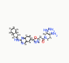 NNC1=C(N)CCN(C(=O)Cc2nnc(-c3ccc4nc(NC5Cc6ccccc6C5)ncc4c3)o2)C1